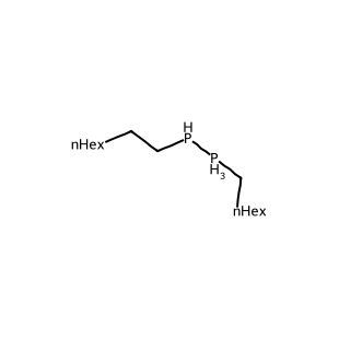 CCCCCCCCP[PH3]CCCCCCC